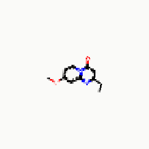 CCc1cc(=O)n2ccc(OC)cc2n1